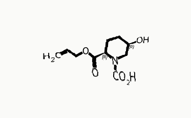 C=CCOC(=O)[C@H]1CC[C@@H](O)CN1C(=O)O